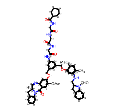 COc1cc2c(cc1OCc1cc(COc3cc(NCC4Cc5ccccc5N4C=O)c(C)cc3OC)cc(NC(=O)CNC(=O)CNC(=O)CNC(=O)C3CCCCC3)c1)N=C[C@@H]1Cc3ccccc3N1C2=O